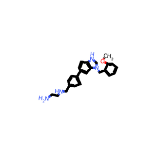 COc1ccccc1CN1CNc2ccc(-c3ccc(CNCCN)cc3)cc21